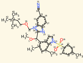 COC(c1c(C)cc(C)c2c1ccn2S(=O)(=O)c1ccc(C)cc1)c1nc2ccc(C#N)cc2n1COCC[Si](C)(C)C